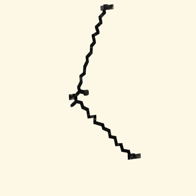 CCCCCCCCCCCCCCCCCCCCCCCCCCC(=O)NC(C)CCCCCCCCCCCCCCCCCCCCCCCCC